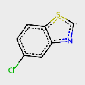 Clc1ccc2s[c]nc2c1